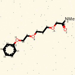 CNC(=O)COCCCOCCOc1ccccc1